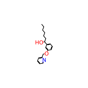 CCCCCCC(O)c1cccc(OCc2ccccn2)c1